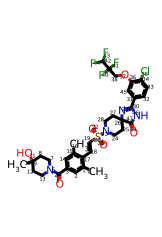 Cc1cc(C(=O)N2CCC(C)(O)CC2)cc(C)c1C=CS(=O)(=O)N1CCC2(CC1)N=C(c1ccc(Cl)c(OCC(F)(F)C(F)F)c1)NC2=O